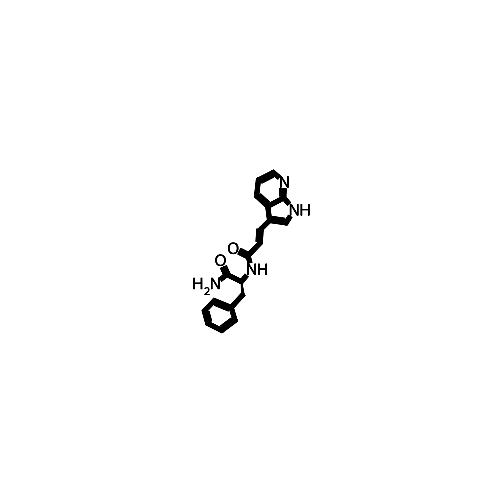 NC(=O)[C@H](Cc1ccccc1)NC(=O)/C=C/c1c[nH]c2ncccc12